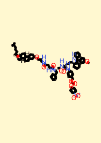 COc1ccc(C(NCCCC[C@H](NC(=O)C[C@H](Cc2ccccc2)NC(=O)CCC(=O)NCCCO[C@H]2CC[C@@]3(C)C(=CC[C@H]4[C@@H]5CC[C@H]([C@H](C)CCCC(C)C)[C@@]5(C)CC[C@@H]43)C2)C(=O)Nc2ccc(COC(=O)Oc3ccc([N+](=O)[O-])cc3)cc2)(c2ccccc2)c2ccccc2)cc1